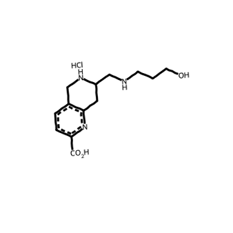 Cl.O=C(O)c1ccc2c(n1)CC(CNCCCO)NC2